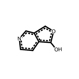 Oc1occ2cnccc12